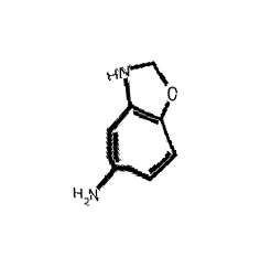 Nc1ccc2c(c1)NCO2